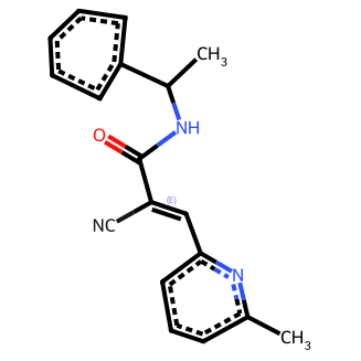 Cc1cccc(/C=C(\C#N)C(=O)NC(C)c2ccccc2)n1